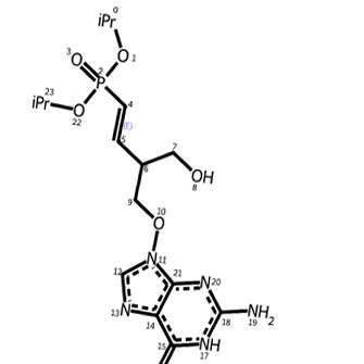 CC(C)OP(=O)(/C=C/C(CO)COn1cnc2c(=O)[nH]c(N)nc21)OC(C)C